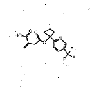 C=C(CC(=O)OC1(c2ccc(C(F)(F)F)cn2)CCC1)C(=O)O